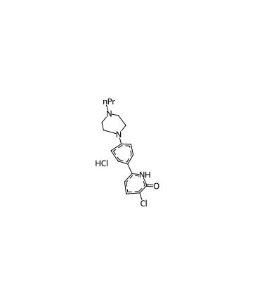 CCCN1CCN(c2ccc(-c3ccc(Cl)c(=O)[nH]3)cc2)CC1.Cl